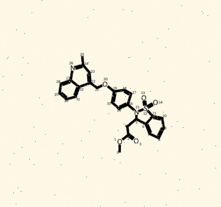 COC(=O)CC1c2ccccc2S(=O)(=O)N1c1ccc(OCc2cc(C)nc3ccccc23)cc1